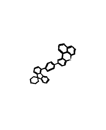 c1ccc2c(c1)-c1c(-c3ccc(-c4ccc5c(c4)-c4cccc6cccc(c46)S5)cc3)cccc1C21CCCCC1